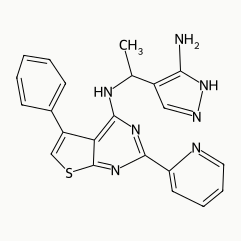 CC(Nc1nc(-c2ccccn2)nc2scc(-c3ccccc3)c12)c1cn[nH]c1N